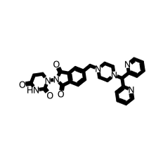 O=C1CCN(N2C(=O)c3ccc(CN4CCN(C(c5ccccn5)c5ccccn5)CC4)cc3C2=O)C(=O)N1